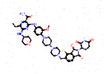 CCc1nc(C(N)=O)c(Nc2ccc(N3CCC(N4CCN(Cc5ccc6c(c5Br)C(=O)N(C5CCC(=O)NC5=O)C6=O)CC4)CC3)c(OC)c2)nc1NC1CCOCC1